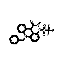 COC(=O)C1c2ccccc2N(Cc2ccccc2)c2cccc(OS(=O)(=O)C(F)(F)F)c21